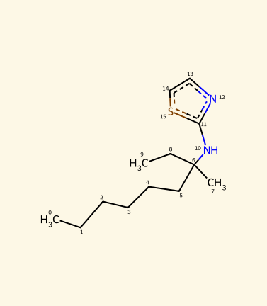 CCCCCCC(C)(CC)Nc1nccs1